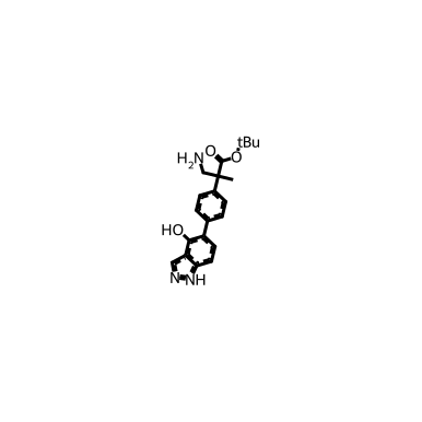 CC(C)(C)OC(=O)C(C)(CN)c1ccc(-c2ccc3[nH]ncc3c2O)cc1